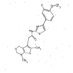 Cc1sc2c(c1CC(=O)Nc1nc(-c3ccc(OC(F)(F)F)c(F)c3)cs1)COCN2C